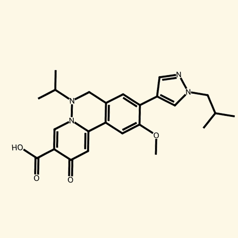 COc1cc2c(cc1-c1cnn(CC(C)C)c1)CN(C(C)C)n1cc(C(=O)O)c(=O)cc1-2